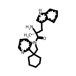 C[C@](N)(Cc1c[nH]c2ccccc12)C(=O)NCC1(c2ccccn2)CCCCC1